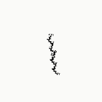 CC(=CCOC(=O)CC(=O)OCC=C(C)CCCC(C)CCCC(C)CCCC(C)C)CCCC(C)CCCC(C)CCCC(C)C